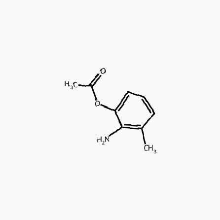 CC(=O)Oc1cccc(C)c1N